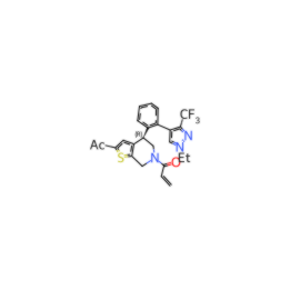 C=CC(=O)N1Cc2sc(C(C)=O)cc2[C@@H](c2ccccc2-c2cn(CC)nc2C(F)(F)F)C1